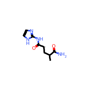 CC(C[CH]C(=O)Nc1ncc[nH]1)C(N)=O